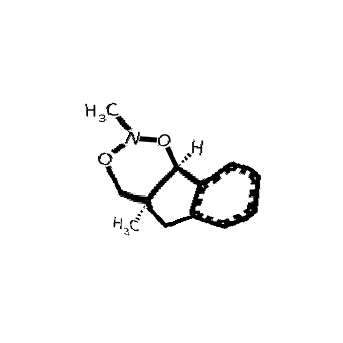 CN1OC[C@]2(C)Cc3ccccc3[C@@H]2O1